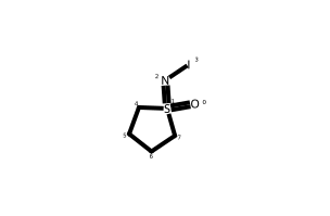 O=S1(=NI)CCCC1